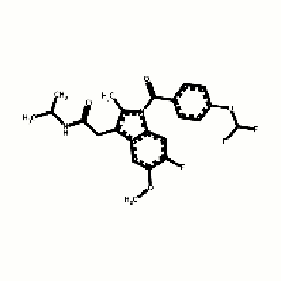 COc1cc2c(CC(=O)NC(C)C)c(C)n(C(=O)c3ccc(OC(F)F)cc3)c2cc1F